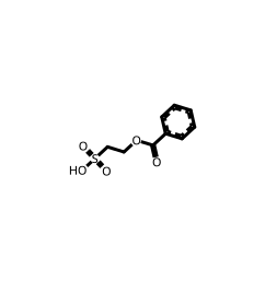 O=C(OCCS(=O)(=O)O)c1ccccc1